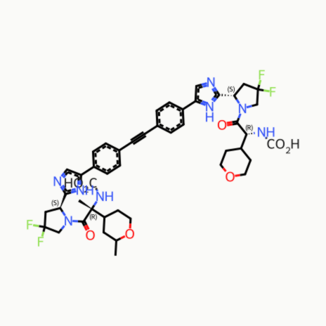 CC1CC([C@@](C)(NC(=O)O)C(=O)N2CC(F)(F)C[C@H]2c2ncc(-c3ccc(C#Cc4ccc(-c5cnc([C@@H]6CC(F)(F)CN6C(=O)[C@H](NC(=O)O)C6CCOCC6)[nH]5)cc4)cc3)[nH]2)CCO1